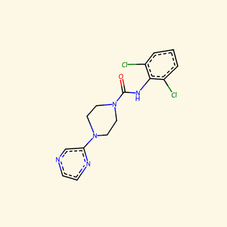 O=C(Nc1c(Cl)cccc1Cl)N1CCN(c2cnccn2)CC1